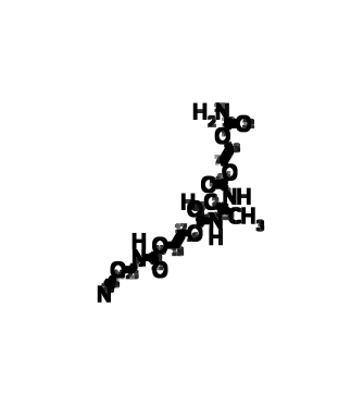 CC(C)(NC(=O)OC=COC(N)=O)NC(=O)OC=COC(=O)NCOC#N